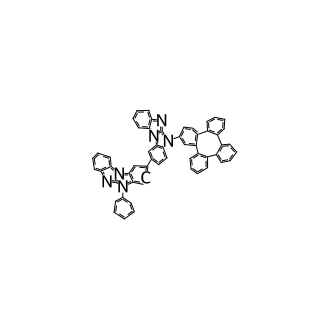 c1ccc(-n2c3ccc(-c4ccc5c(c4)n4c6ccccc6nc4n5-c4ccc5c(c4)-c4ccccc4-c4ccccc4-c4ccccc4-5)cc3n3c4ccccc4nc23)cc1